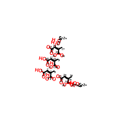 CC(=CC(=O)O)C(=O)O.CC(=CC(=O)O)C(=O)O.CC(=CC(=O)[O-])C(=O)[O-].CC(=CC(=O)[O-])C(=O)[O-].O.O.O.O.[Sr+2].[Sr+2]